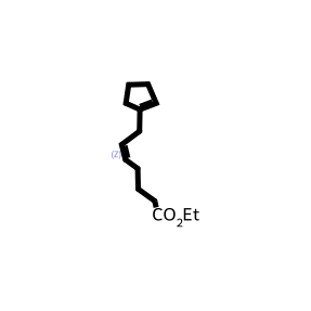 CCOC(=O)CCC/C=C\CC1=CCCC1